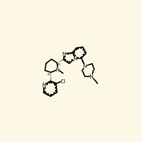 CN1CCN(c2cccc3nc([C@H]4CCC[C@@H](c5ncccc5Cl)N4C)cn23)CC1